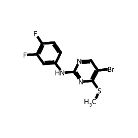 CSc1nc(Nc2ccc(F)c(F)c2)ncc1Br